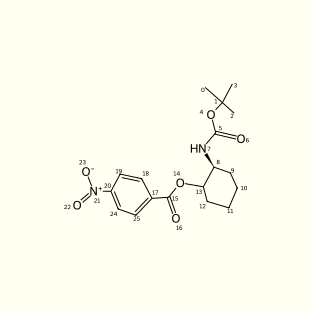 CC(C)(C)OC(=O)N[C@H]1CCCCC1OC(=O)c1ccc([N+](=O)[O-])cc1